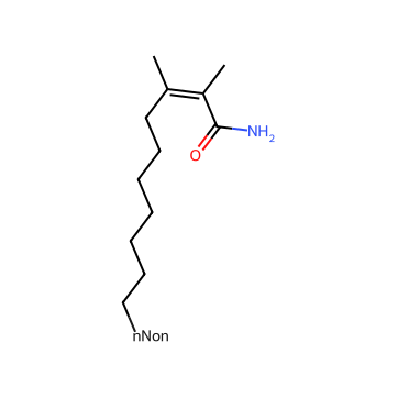 CCCCCCCCCCCCCCCCC(C)=C(C)C(N)=O